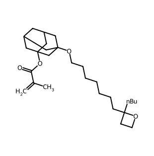 C=C(C)C(=O)OC12CC3CC(CC(OCCCCCCCC4(CCCC)CCO4)(C3)C1)C2